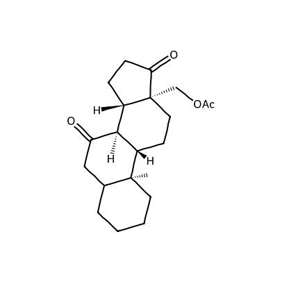 CC(=O)OC[C@]12CC[C@H]3[C@@H](C(=O)CC4CCCC[C@@]43C)[C@@H]1CCC2=O